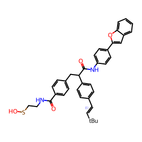 CC(C)(C)/C=C/c1ccc(C(Cc2ccc(C(=O)NCCSO)cc2)C(=O)Nc2ccc(-c3cc4ccccc4o3)cc2)cc1